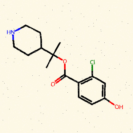 CC(C)(OC(=O)c1ccc(O)cc1Cl)C1CCNCC1